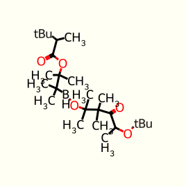 CC(OC(C)(C)C)C(=O)C(C)(C)C(C)(C)OBC(C)(C)C(C)(C)OC(=O)C(C)C(C)(C)C